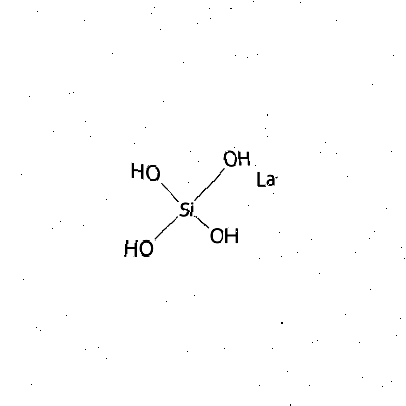 O[Si](O)(O)O.[La]